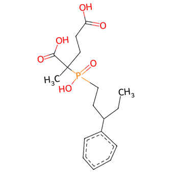 CCC(CCP(=O)(O)C(C)(CCC(=O)O)C(=O)O)c1ccccc1